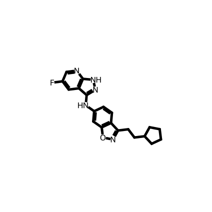 Fc1cnc2[nH]nc(Nc3ccc4c(CCC5CCCC5)noc4c3)c2c1